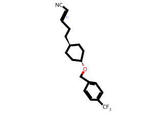 N#C/C=C/CC[C@H]1CC[C@H](OCc2ccc(C(F)(F)F)cc2)CC1